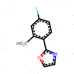 O=C(O)c1cc(F)ccc1-c1ncco1